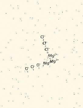 [Cl-].[Cl-].[Cl-].[Cl-].[Cl-].[Cl-].[Mg+2].[Mg+2].[Mg+2]